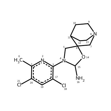 Cc1nc(N2CC3(CN4CCC3CC4)OC2N)c(Cl)cc1Cl